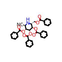 N#C[C@H]1N[C@H](COC(=O)c2ccccc2)[C@@H](OC(=O)c2ccccc2)[C@H](OC(=O)c2ccccc2)[C@H]1OC(=O)c1ccccc1